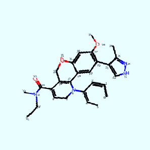 C/C=C\C(=C/C)N1CC=C(C(=O)N(C)CC)C2=C1c1cc(-c3c[nH]nc3C)c(OC)cc1OC2